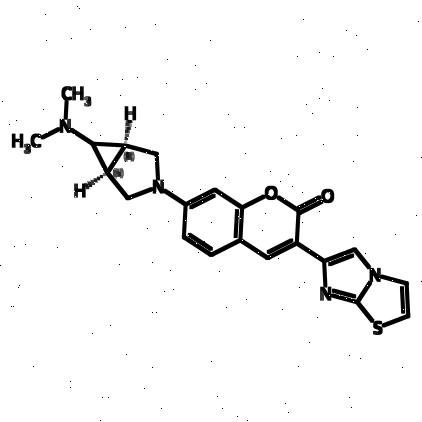 CN(C)C1[C@H]2CN(c3ccc4cc(-c5cn6ccsc6n5)c(=O)oc4c3)C[C@@H]12